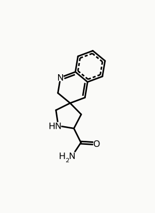 NC(=O)C1CC2(C=c3ccccc3=NC2)CN1